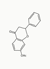 CC(=O)Oc1ccc2c(c1)OC(c1ccccc1)CC2=O